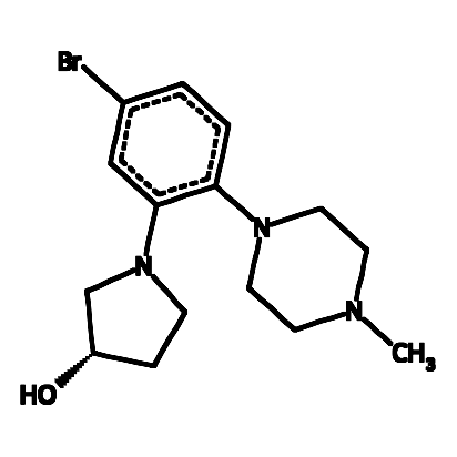 CN1CCN(c2ccc(Br)cc2N2CC[C@H](O)C2)CC1